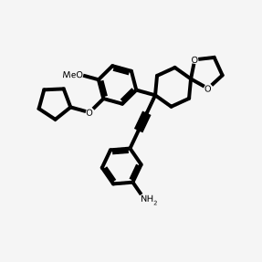 COc1ccc(C2(C#Cc3cccc(N)c3)CCC3(CC2)OCCO3)cc1OC1CCCC1